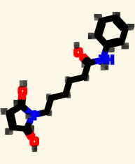 O=C(CCCCCN1C(=O)C=CC1=O)Nc1ccccc1